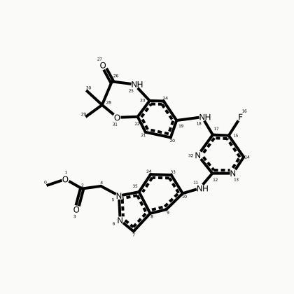 COC(=O)Cn1ncc2cc(Nc3ncc(F)c(Nc4ccc5c(c4)NC(=O)C(C)(C)O5)n3)ccc21